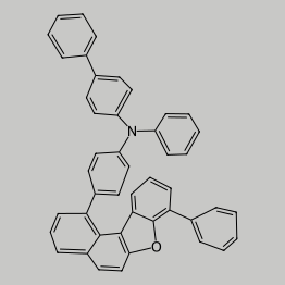 c1ccc(-c2ccc(N(c3ccccc3)c3ccc(-c4cccc5ccc6oc7c(-c8ccccc8)cccc7c6c45)cc3)cc2)cc1